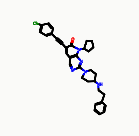 O=c1c(C#Cc2ccc(Cl)cc2)cc2cnc(N3CCC(NCCc4ccccc4)CC3)nc2n1C1CCCC1